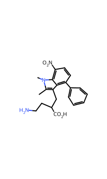 Cc1c(CC(CCN)C(=O)O)c2c(-c3ccccc3)ccc([N+](=O)[O-])c2n1C